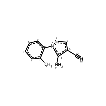 Cc1ccccc1-n1ncc(C#N)c1N